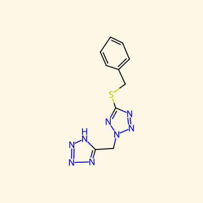 c1ccc(CSc2nnn(Cc3nnn[nH]3)n2)cc1